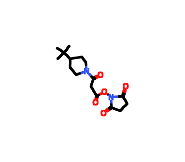 CC(C)(C)C1CCN(C(=O)CC(=O)ON2C(=O)CCC2=O)CC1